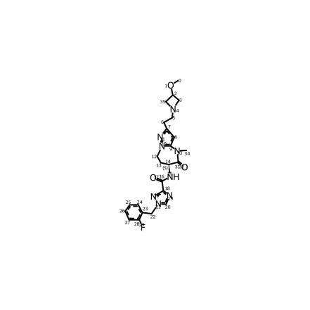 COC1CN(CCc2cc3n(n2)CC[C@H](NC(=O)c2ncn(Cc4ccccc4F)n2)C(=O)N3C)C1